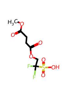 COC(=O)CCC(=O)OCC(F)(F)S(=O)(=O)O